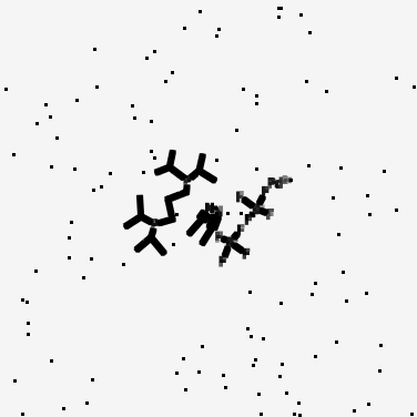 CC#N.CC#N.CC(C)P(CCCP(C(C)C)C(C)C)C(C)C.F[B-](F)(F)F.F[B-](F)(F)F.[Pd+2]